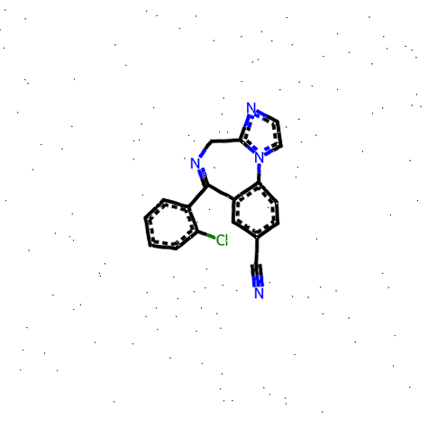 N#Cc1ccc2c(c1)C(c1ccccc1Cl)=NCc1nccn1-2